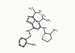 CC(C)c1nnc2c(NCc3ccccc3N)nc(NC3CCCCC3N)n(C(C)C)c1-2